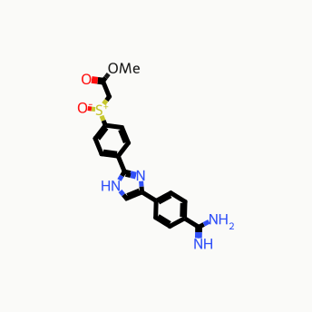 COC(=O)C[S+]([O-])c1ccc(-c2nc(-c3ccc(C(=N)N)cc3)c[nH]2)cc1